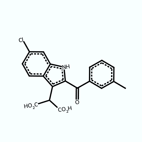 Cc1cccc(C(=O)c2[nH]c3cc(Cl)ccc3c2C(C(=O)O)C(=O)O)c1